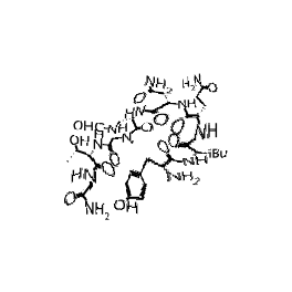 CC[C@H](C)[C@H](NC(=O)[C@@H](N)Cc1ccc(O)cc1)C(=O)N[C@@H](CCC(N)=O)C(=O)N[C@@H](CC(N)=O)C(=O)N[C@@H](CNC=O)C(=O)N(C)CC(=O)N[C@H](C(=O)NCC(N)=O)[C@H](C)O